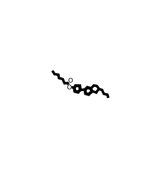 CCCCCCC(=O)Oc1ccc(-c2ccc3c(c2)CCC(CCCC)C3)cc1